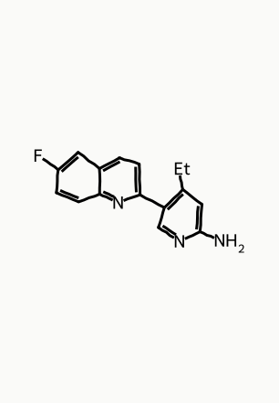 CCc1cc(N)ncc1-c1ccc2cc(F)ccc2n1